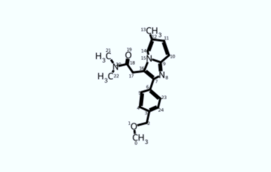 COCc1ccc(-c2nc3ccc(C)cn3c2CC(=O)N(C)C)cc1